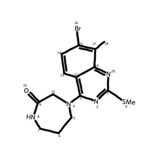 CSc1nc(N2CCCNC(=O)C2)c2ccc(Br)c(C)c2n1